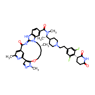 Cc1cc2cc(n1)-c1cnn(C)c1OCCC[C@@H](C)CN1/C(=N/C2=O)Nc2ccc(C(=O)N(C)[C@@H](C)C3CCN(CCc4cc(F)c([C@H]5CCC(=O)NC5=O)c(F)c4)CC3)cc21